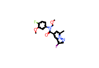 COCN(C(=O)c1cc(C)n2ncc(I)c2c1)c1ccc(F)c(OC)c1